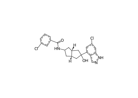 O=C(NC1C[C@@H]2CC(O)(c3cc(Cl)cc4[nH]ncc34)C[C@@H]2C1)c1cccc(Cl)c1